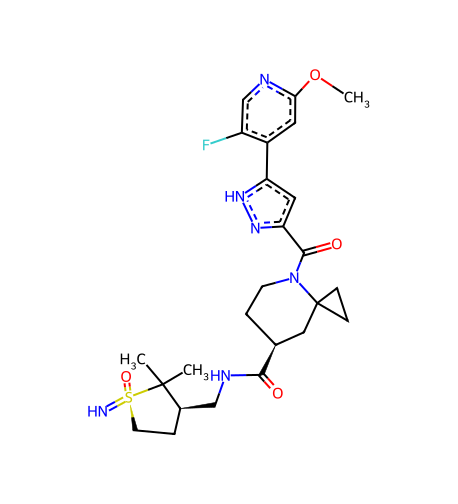 COc1cc(-c2cc(C(=O)N3CC[C@H](C(=O)NC[C@H]4CC[S@@](=N)(=O)C4(C)C)CC34CC4)n[nH]2)c(F)cn1